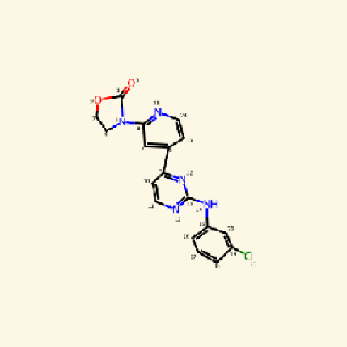 O=C1OCCN1c1cc(-c2ccnc(Nc3cccc(Cl)c3)n2)ccn1